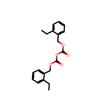 CCc1ccccc1COC(=O)OC(=O)OCc1ccccc1CC